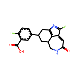 O=C1C=C2C(F)=NC3=C2C(CN1)CC(c1ccc(F)c(C(=O)O)c1)C3